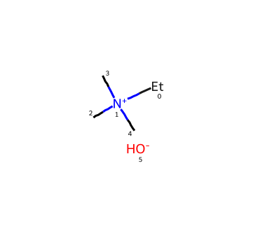 CC[N+](C)(C)C.[OH-]